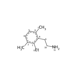 CCc1c(C)ccc(C)c1CCN